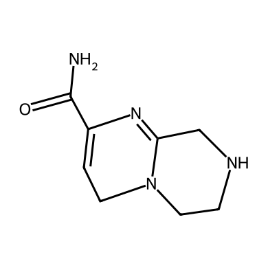 NC(=O)C1=CCN2CCNCC2=N1